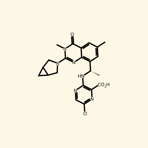 Cc1cc([C@H](C)Nc2ncc(Cl)nc2C(=O)O)c2nc(N3CC4CC4C3)n(C)c(=O)c2c1